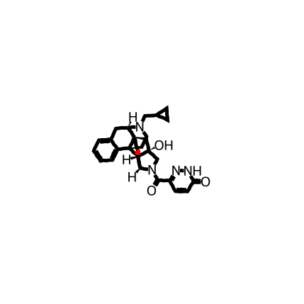 O=C(c1ccc(=O)[nH]n1)N1C[C@]2(O)C[C@@]34CC[C@@H]1[C@@H]2[C@@]31CCN(CC2CC2)[C@@H]4Cc2ccccc21